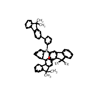 CCC1(CC)c2ccccc2-c2cc(N(c3cccc(-c4ccc5c(c4)C(C)(C)c4ccccc4-5)c3)c3ccccc3-c3cccc4c3-c3ccccc3C4(C)C)ccc21